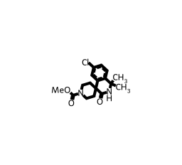 COC(=O)N1CCC2(CC1)C(=O)NC(C)(C)c1ccc(Cl)cc12